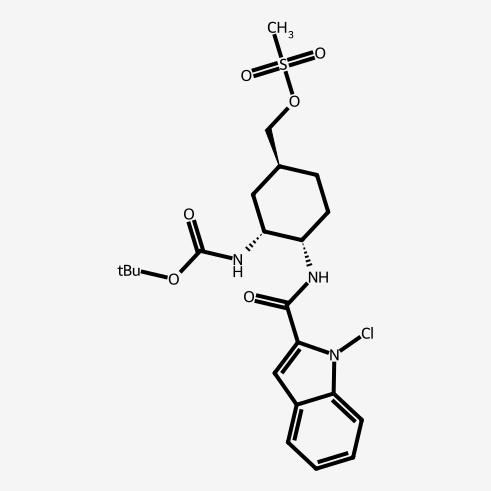 CC(C)(C)OC(=O)N[C@@H]1C[C@@H](COS(C)(=O)=O)CC[C@@H]1NC(=O)c1cc2ccccc2n1Cl